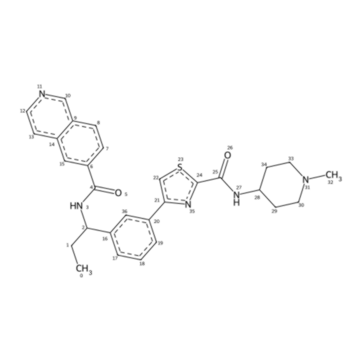 CCC(NC(=O)c1ccc2cnccc2c1)c1cccc(-c2csc(C(=O)NC3CCN(C)CC3)n2)c1